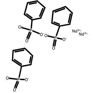 O=P([O-])([O-])c1ccccc1.O=P([O-])([O-])c1ccccc1.O=P([O-])([O-])c1ccccc1.[Nd+3].[Nd+3]